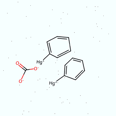 O=C([O-])[O-].[Hg+][c]1ccccc1.[Hg+][c]1ccccc1